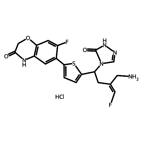 Cl.NC/C(=C/F)CC(c1ccc(-c2cc3c(cc2F)OCC(=O)N3)s1)n1cn[nH]c1=O